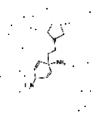 NC1C=CC(N)(CCN2CCCC2)C=C1